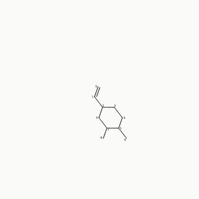 C=CC1CCC(C)C(C)C1